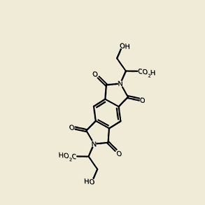 O=C(O)C(CO)n1c(=O)c2cc3c(=O)n(C(CO)C(=O)O)c(=O)c3cc2c1=O